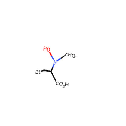 CCC(C(=O)O)N(O)[C]=O